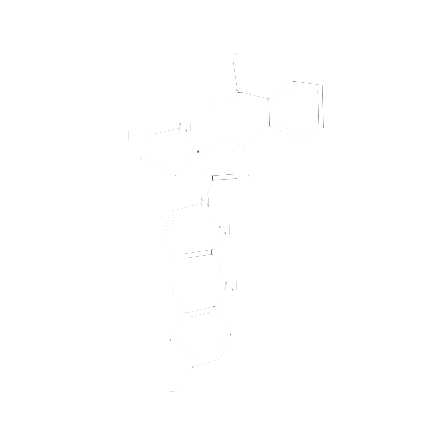 CCC(CCc1ccccc1C(=O)O)(NC)C(=O)N(C=O)NC(=O)Nc1ccc(Br)cc1F